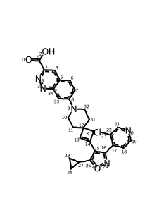 O=C(O)c1cc2ccc(N3CCC4(C=C(c5c(-c6ccncc6Cl)noc5C5CC5)C4)CC3)cc2nn1